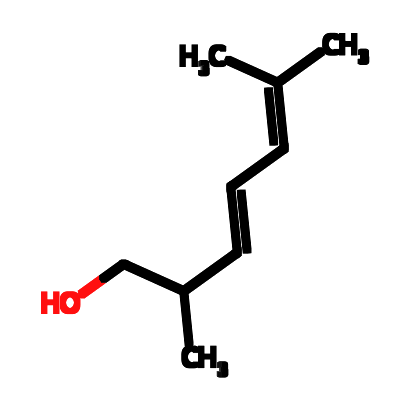 CC(C)=CC=CC(C)CO